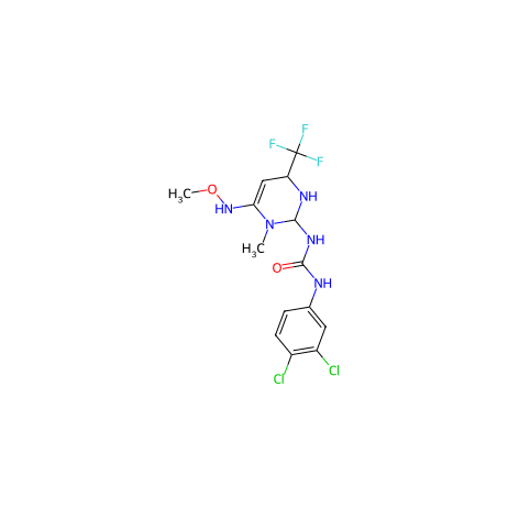 CONC1=CC(C(F)(F)F)NC(NC(=O)Nc2ccc(Cl)c(Cl)c2)N1C